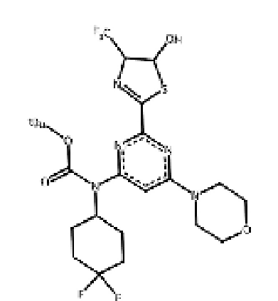 CC(C)(C)OC(=O)N(c1cc(N2CCOCC2)nc(C2=NC(C(F)(F)F)C(O)S2)n1)C1CCC(F)(F)CC1